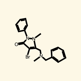 CN(Cc1ccccc1)Cc1c(Br)c(=O)n(-c2ccccc2)n1C